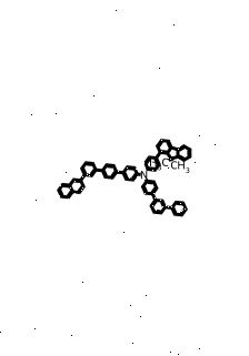 CC1(C)c2ccccc2-c2cccc(-c3ccc(N(c4ccc(-c5ccc(-c6cccc(-c7ccc8ccccc8c7)c6)cc5)cc4)c4ccc(-c5cccc(-c6ccccc6)c5)cc4)cc3)c21